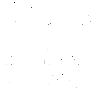 FC(F)=Cc1[c]ccc2sccc12